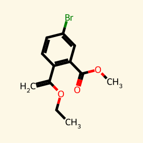 C=C(OCC)c1ccc(Br)cc1C(=O)OC